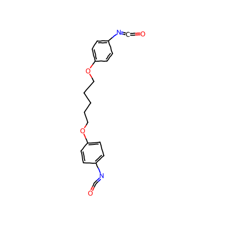 O=C=Nc1ccc(OCCCCCOc2ccc(N=C=O)cc2)cc1